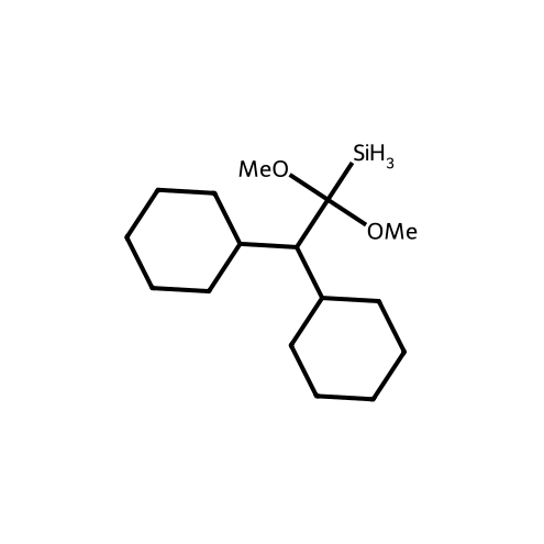 COC([SiH3])(OC)C(C1CCCCC1)C1CCCCC1